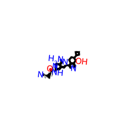 N#C[C@@H]1C[C@H]1C(=O)Nc1cc2cc(-c3cncc4c3CCC(C3CCC3)C4O)nc(N)c2cn1